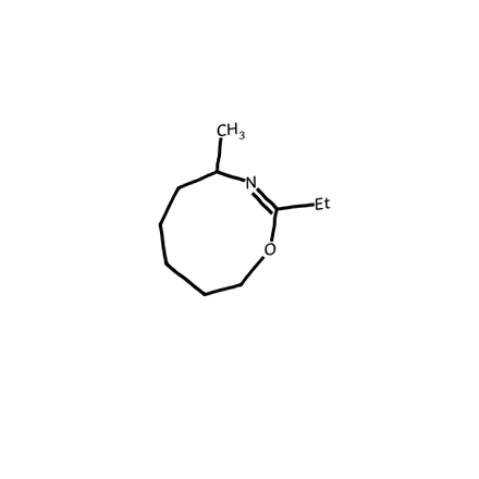 CC/C1=N/C(C)CCCCCO1